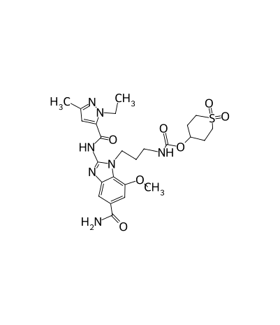 CCn1nc(C)cc1C(=O)Nc1nc2cc(C(N)=O)cc(OC)c2n1CCCNC(=O)OC1CCS(=O)(=O)CC1